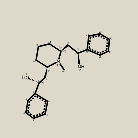 CN1[C@@H](C[C@@H](O)c2ccccc2)CCC[C@H]1C[C@H](O)c1ccccc1